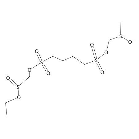 CCOS(=O)COS(=O)(=O)CCCCS(=O)(=O)OC[S+](C)[O-]